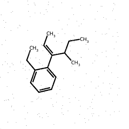 C[C]=C(c1ccccc1CC)C(C)CC